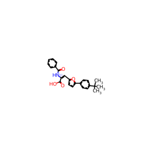 CC(C)(C)c1ccc(-c2ccc(/C=C(/NC(=O)c3ccccc3)C(=O)O)o2)cc1